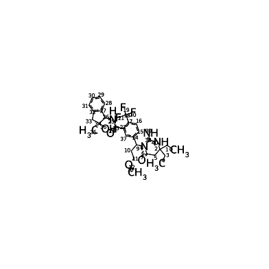 CCC1(CC)CC(=O)N(C(CCOC)c2ccc(C(F)(F)F)c(C(=O)N[C@@H]3c4ccccc4C[C@]3(C)O)c2)C(=N)N1